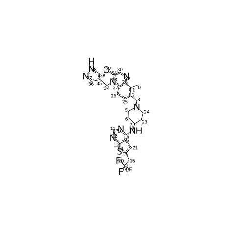 Cc1c(CN2CCC(Nc3ncnc4sc(CC(F)(F)F)cc34)CC2)ccc2c1ncc(=O)n2Cc1cn[nH]c1